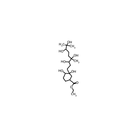 CCOC(=O)C1CCC(O)C(O)(CCC(O)C(C)(O)CCC(O)C(C)(C)O)C1